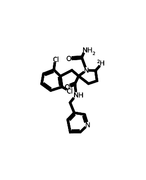 [2H]C1CCC(Cc2c(Cl)cccc2Cl)(C(=O)NCc2cccnc2)N1C(N)=O